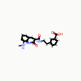 CNc1cccc2cc(C(=O)NCCc3cccc(C(=O)O)c3)c(=O)[nH]c12